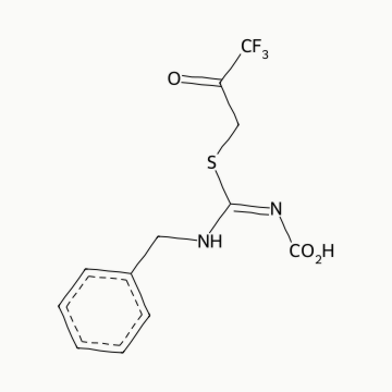 O=C(O)/N=C(\NCc1ccccc1)SCC(=O)C(F)(F)F